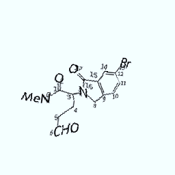 CNC(=O)C(CCC=O)N1Cc2ccc(Br)cc2C1=O